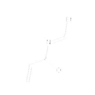 C=CC(=O)N=CCC